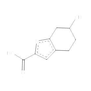 CC1CCc2cc(C(=O)O)sc2C1